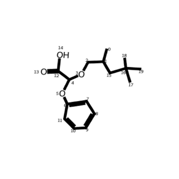 CC(COC(Oc1ccccc1)C(=O)O)CC(C)(C)C